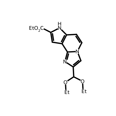 CCOC(=O)c1cc2c(ccn3cc(C(OCC)OCC)nc23)[nH]1